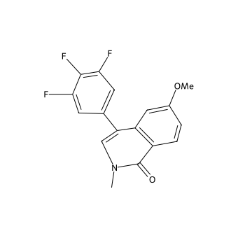 COc1ccc2c(=O)n(C)cc(-c3cc(F)c(F)c(F)c3)c2c1